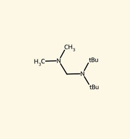 CN(C)CN(C(C)(C)C)C(C)(C)C